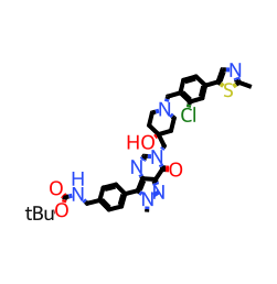 Cc1ncc(-c2ccc(CN3CCC(O)(Cn4cnc5c(-c6ccc(CNC(=O)OC(C)(C)C)cc6)n(C)nc5c4=O)CC3)c(Cl)c2)s1